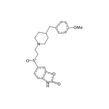 COc1ccc(CC2CCN(CC[S+]([O-])c3ccc4[nH]c(=O)oc4c3)CC2)cc1